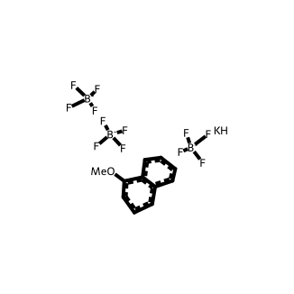 COc1cccc2ccccc12.F[B-](F)(F)F.F[B-](F)(F)F.F[B-](F)(F)F.[KH]